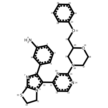 Nc1cccc(-c2nc3n(c2-c2ccnc(N4CCOC(COc5ccccc5)C4)n2)CCS3)c1